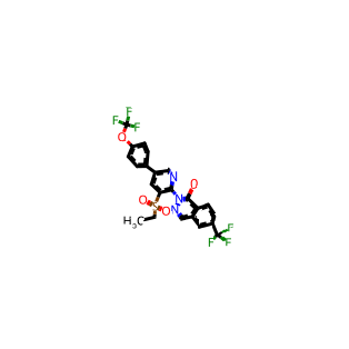 CCS(=O)(=O)c1cc(-c2ccc(OC(F)(F)F)cc2)cnc1-n1ncc2cc(C(F)(F)F)ccc2c1=O